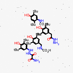 CC(C)(C)c1cc(CC(=O)NN)cc(C(C)(C)C)c1O.CC(C)(C)c1cc(CNC(=O)O)cc(C(C)(C)C)c1O.CC(C)(C)c1cc(NC(=O)O)c(C(C)(C)C)cc1O.CC(C)(C)c1cc(NNC(=O)C(N)=O)cc(C(C)(C)C)c1O